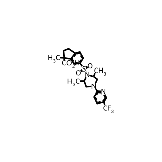 CC1CN(c2ccc(C(F)(F)F)cn2)CC(C)N1S(=O)(=O)c1ccc2c(c1)C(C)(C(=O)O)CC2